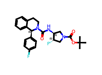 CC(C)(C)OC(=O)N1C[C@H](NC(=O)N2CCc3ccccc3[C@@H]2c2ccc(F)cc2)[C@@H](F)C1